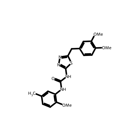 COc1ccc(C)cc1NC(=O)Nc1nnc(Cc2ccc(OC)c(OC)c2)s1